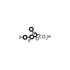 O=C(O)Cc1cn(-c2ccccc2)c2cc(-c3ccc(F)cc3)c(F)cc2c1=O